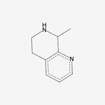 CC1NCCc2cccnc21